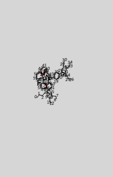 CCCC[Si](CCCC)(CCCC)c1ccc(P(c2ccc([Si](CCCC)(CCCC)CCCC)cc2)N(Cc2ccccc2)P(c2ccccc2F)c2ccccc2F)cc1